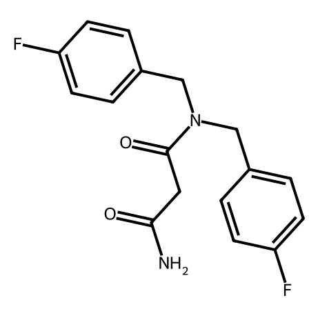 NC(=O)CC(=O)N(Cc1ccc(F)cc1)Cc1ccc(F)cc1